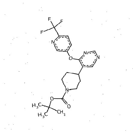 CC(C)(C)OC(=O)N1CCC(c2cncnc2Oc2ccc(C(F)(F)F)nc2)CC1